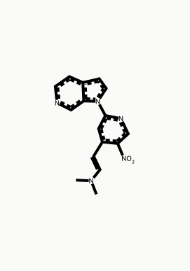 CN(C)/C=C/c1cc(-n2ccc3ccncc32)ncc1[N+](=O)[O-]